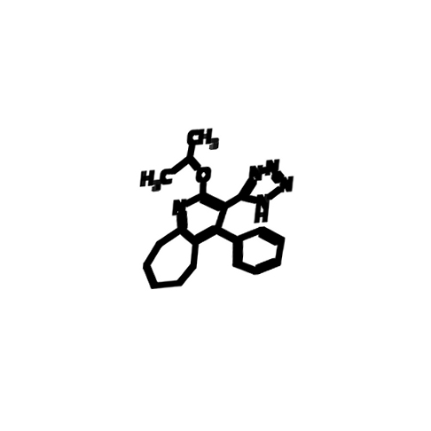 CC(C)Oc1nc2c(c(-c3ccccc3)c1-c1nnn[nH]1)CCCCC2